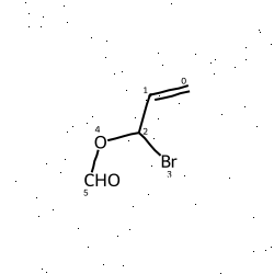 C=CC(Br)OC=O